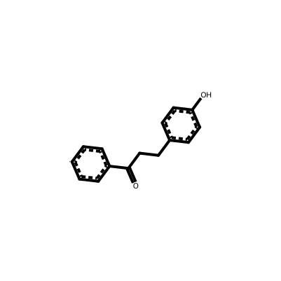 O=C(CCc1ccc(O)cc1)c1cc[c]cc1